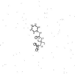 CC(C)(CC(=O)Cc1ccccc1)C[N+](=O)[O-]